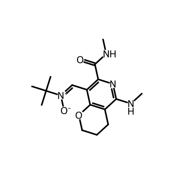 CNC(=O)c1nc(NC)c2c(c1C=[N+]([O-])C(C)(C)C)OCCC2